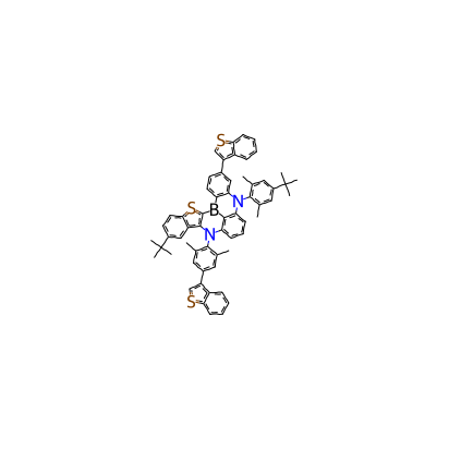 Cc1cc(C(C)(C)C)cc(C)c1N1c2cc(-c3csc4ccccc34)ccc2B2c3sc4ccc(C(C)(C)C)cc4c3N(c3c(C)cc(-c4csc5ccccc45)cc3C)c3cccc1c32